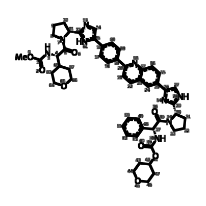 COC(=O)N[C@H](C(=O)N1CCC[C@H]1c1ncc(-c2ccc(-c3ccc4cc(-c5c[nH]c([C@@H]6CCCN6C(=O)[C@H](NC(=O)OC6CCOCC6)c6ccccc6)n5)ccc4n3)cc2)[nH]1)C1CCOCC1